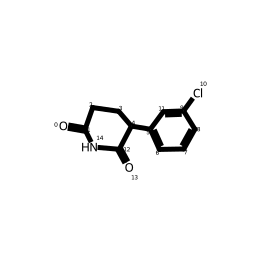 O=C1CCC(c2cccc(Cl)c2)C(=O)N1